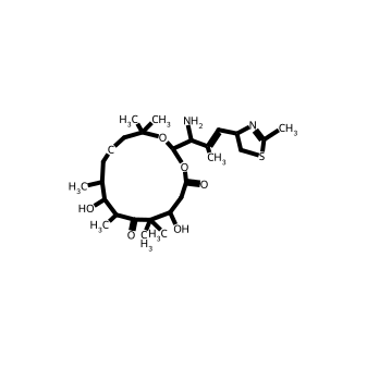 CC1=NC(/C=C(\C)C(N)C2OC(=O)CC(O)C(C)(C)C(=O)C(C)C(O)C(C)CCCC(C)(C)O2)CS1